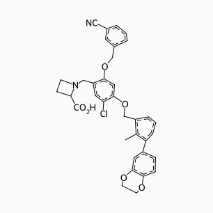 Cc1c(COc2cc(OCc3cccc(C#N)c3)c(CN3CCC3C(=O)O)cc2Cl)cccc1-c1ccc2c(c1)OCCO2